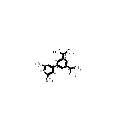 Cc1cc(-c2cc(C(C)C)[c]c(C(C)C)c2)cc(C)n1